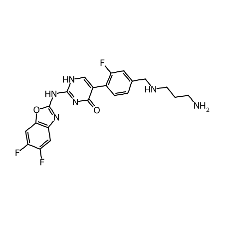 NCCCNCc1ccc(-c2c[nH]c(Nc3nc4cc(F)c(F)cc4o3)nc2=O)c(F)c1